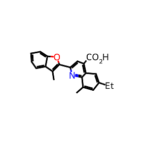 CCc1cc(C)c2nc(-c3oc4ccccc4c3C)cc(C(=O)O)c2c1